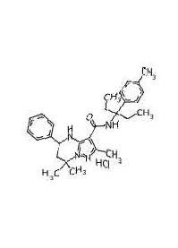 CCC(CC)(NC(=O)c1c(C)nn2c1NC(c1ccccc1)CC2(C)C)c1ccc(C)cc1.Cl